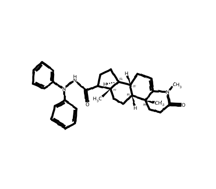 CN1C(=O)CC[C@@]2(C)C1=CC[C@@H]1[C@H]2CC[C@]2(C)C(C(=O)NN(c3ccccc3)c3ccccc3)CC[C@@H]12